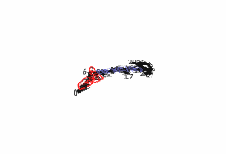 CCOC(=O)[C@H](C)OC(=O)/C=C(C)/C=C/C=C(C)/C=C/C1=C(C)CCCC1(C)C